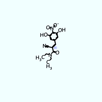 CCN(CC)C(=O)/C(C#N)=C/c1cc(O)c([N+](=O)[O-])c(O)c1